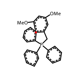 COc1cc(C[P](c2ccccc2)(c2ccccc2)c2ccccc2)cc(OC)c1